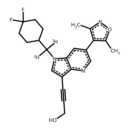 [2H]C([2H])(C1CCC(F)(F)CC1)n1cc(C#CCO)c2ncc(-c3c(C)noc3C)cc21